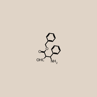 NC(c1ccccc1)C(C=O)C(=O)OCc1ccccc1